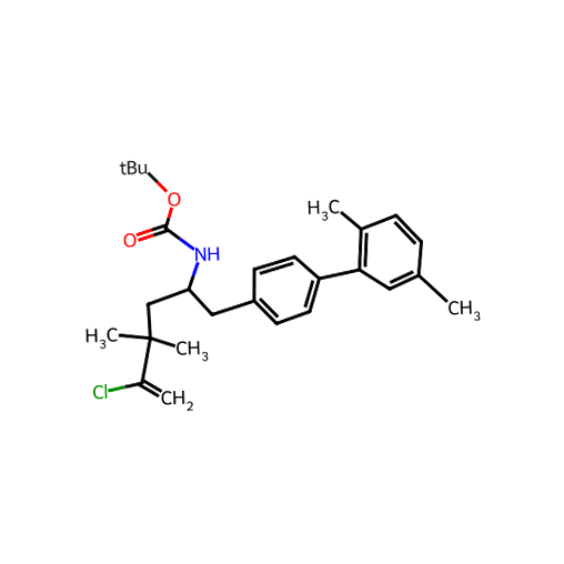 C=C(Cl)C(C)(C)CC(Cc1ccc(-c2cc(C)ccc2C)cc1)NC(=O)OC(C)(C)C